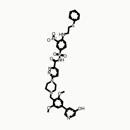 COc1cc(-c2cncc(O)c2)cc(OC)c1CN1CCN(c2ccc(C(=O)NS(=O)(=O)c3ccc(NCCSc4ccccc4)c([N+](=O)[O-])c3)nn2)CC1